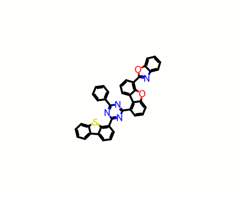 c1ccc(-c2nc(-c3cccc4c3sc3ccccc34)nc(-c3cccc4oc5c(-c6nc7ccccc7o6)cccc5c34)n2)cc1